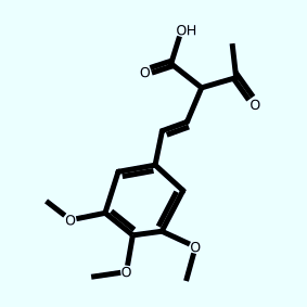 COc1cc(C=CC(C(C)=O)C(=O)O)cc(OC)c1OC